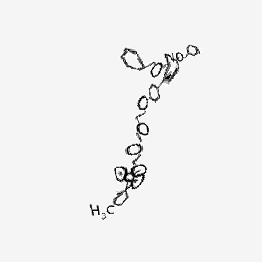 Cc1ccc(S(=O)(=O)OCCOCCOCCOc2ccc(-c3ccc(OCc4ccccc4)nc3OCc3ccccc3)cc2)cc1